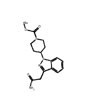 CC(C)(C)OC(=O)N1CCC(n2nc(CC(N)=O)c3ccccc32)CC1